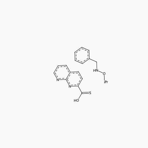 CC(C)ONCc1ccccc1.OC(=S)c1ccc2cccnc2n1